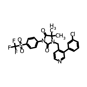 CC1(C)C(=O)N(c2ccc(S(=O)(=O)C(F)(F)F)cc2)C(=O)N1Cc1ccncc1-c1cccc(Cl)c1